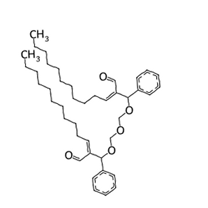 CCCCCCCCCCC=C(C=O)C(OCOCOC(C(C=O)=CCCCCCCCCCC)c1ccccc1)c1ccccc1